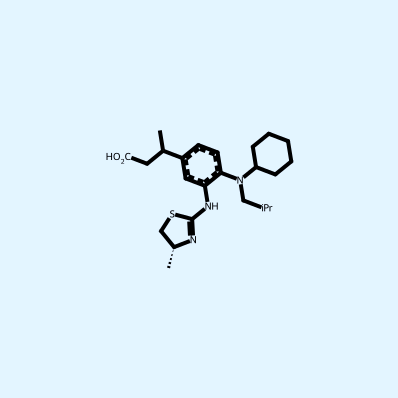 CC(C)CN(c1ccc(C(C)CC(=O)O)cc1NC1=N[C@H](C)CS1)C1CCCCC1